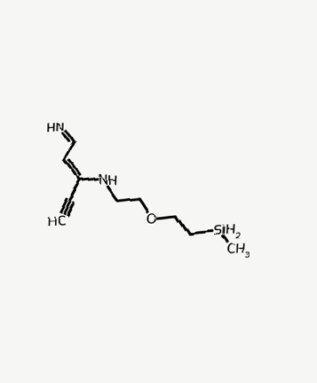 C#C/C(=C/C=N)NCCOCC[SiH2]C